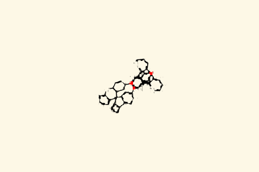 C1=CC(c2ccc3ccc4cccnc4c3n2)CC2=C1Oc1ccccc1C21c2ccccc2-c2ccc(-c3ccc4ccc5cccnc5c4n3)cc21